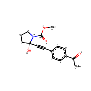 COC(=O)c1ccc(C#C[C@@]2(O)CCCN2C(=O)OC(C)(C)C)cc1